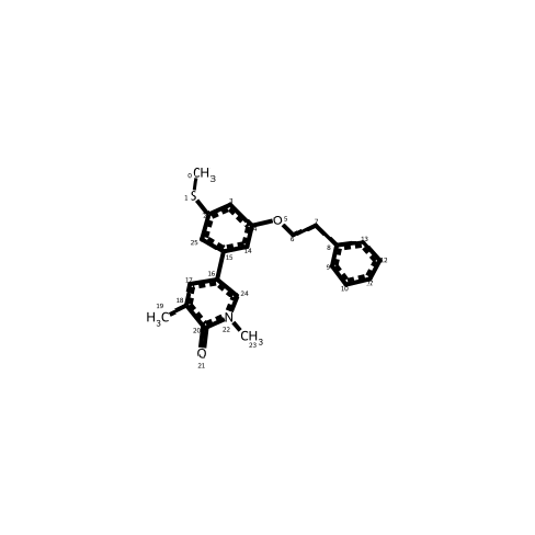 CSc1cc(OCCc2ccccc2)cc(-c2cc(C)c(=O)n(C)c2)c1